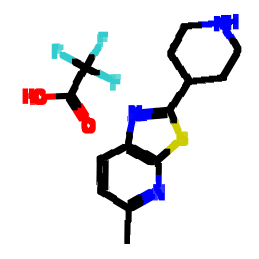 Cc1ccc2nc(C3CCNCC3)sc2n1.O=C(O)C(F)(F)F